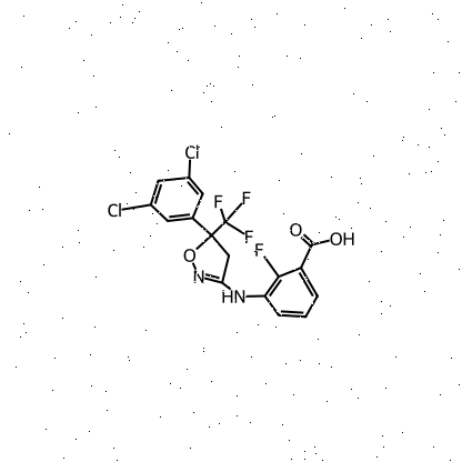 O=C(O)c1cccc(NC2=NOC(c3cc(Cl)cc(Cl)c3)(C(F)(F)F)C2)c1F